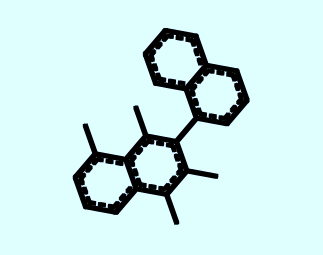 Cc1c(-c2cccc3ccccc23)c(C)c2c(C)cccc2c1C